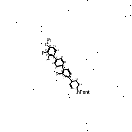 CCCCCC1C=CC(c2ccc(-c3ccc(-c4ccc(OCC)c(F)c4F)cc3)c(F)c2)CC1